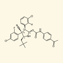 CC(=O)c1ccc(NC(=O)O[C@H]2N[C@@H](CC(C)(C)C)[C@](C#N)(c3ccc(Cl)cc3F)[C@H]2c2cccc(Cl)c2F)cc1